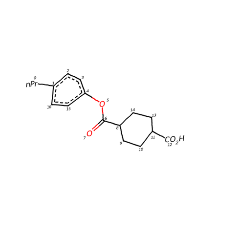 CCCc1ccc(OC(=O)C2CCC(C(=O)O)CC2)cc1